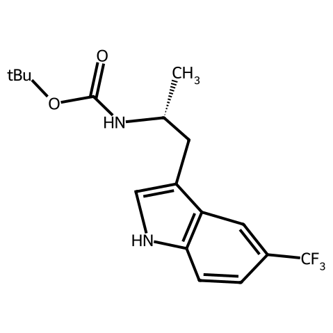 C[C@H](Cc1c[nH]c2ccc(C(F)(F)F)cc12)NC(=O)OC(C)(C)C